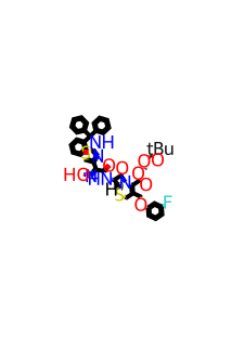 CC(C)(C)C(=O)OCOC(=O)C1=C(COc2cccc(F)c2)CS[C@H]2C(NC(=O)C(=NO)c3csc(NC(c4ccccc4)(c4ccccc4)c4ccccc4)n3)C(=O)N12